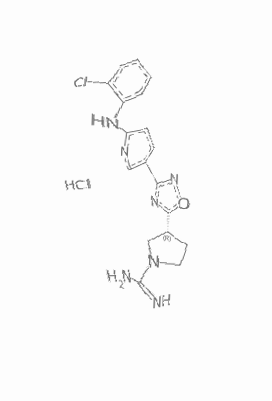 Cl.N=C(N)N1CC[C@@H](c2nc(-c3ccc(Nc4ccccc4Cl)nc3)no2)C1